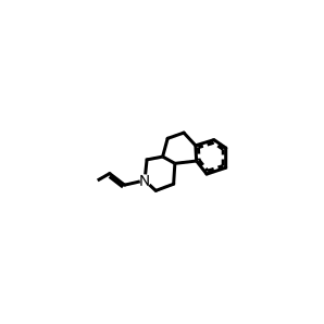 CC=CN1CCC2c3ccccc3CCC2C1